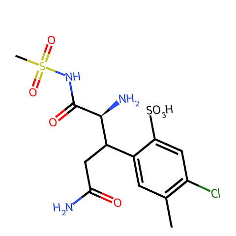 Cc1cc(C(CC(N)=O)[C@H](N)C(=O)NS(C)(=O)=O)c(S(=O)(=O)O)cc1Cl